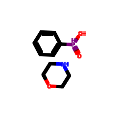 C1COCCN1.O=[PH](O)c1ccccc1